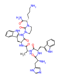 C[C@H](NC(=O)[C@@H](Cc1c[nH]c2ccccc12)NC(=O)[C@@H](N)Cc1cnc[nH]1)C(=O)N[C@@H](Cc1c[nH]c2ccccc12)C(=O)NN1CCCN([C@@H](CCCCN)C(N)=O)C1=O